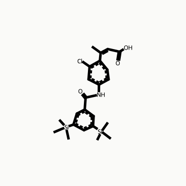 C/C(=C/C(=O)O)c1ccc(NC(=O)c2cc([Si](C)(C)C)cc([Si](C)(C)C)c2)cc1Cl